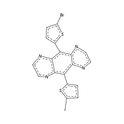 Brc1ccc(-c2c3nccnc3c(-c3ccc(I)s3)c3nccnc23)s1